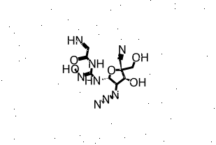 N#C[C@]1(CO)O[C@@H](N/C(=N/O)NC(=O)C=N)C(N=[N+]=[N-])[C@@H]1O